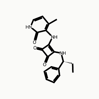 CC[C@@H](Nc1c(Nc2c(C)cc[nH]c2=O)c(=O)c1=O)c1ccccc1